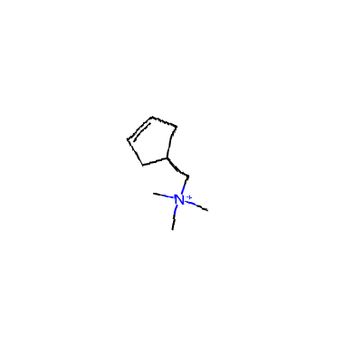 C[N+](C)(C)CC1CC=CC1